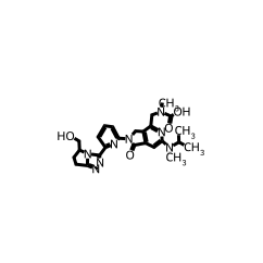 CC(C)N(C)c1cc2c(c(CN(C)C(=O)O)n1)CN(c1cccc(-c3nnc4n3C(CO)CC4)n1)C2=O